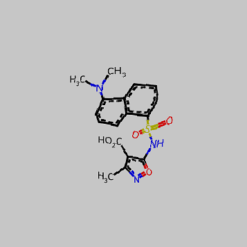 Cc1noc(NS(=O)(=O)c2cccc3c(N(C)C)cccc23)c1C(=O)O